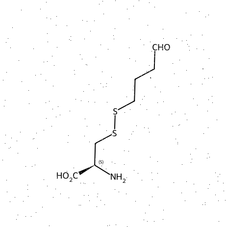 N[C@H](CSSCCCC=O)C(=O)O